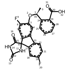 C[C@H](Oc1cc2c(cc1F)C1(NC(=O)NC1=O)c1cc(F)ccc1-2)c1ccccc1C(=O)O